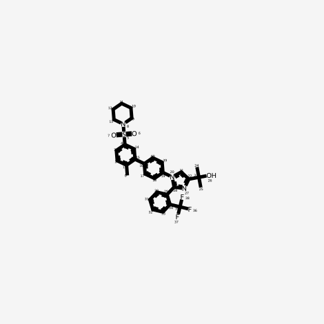 Cc1ccc(S(=O)(=O)N2CCCCC2)cc1-c1ccc(-n2cc(C(C)(C)O)nc2-c2ccccc2C(F)(F)F)cc1